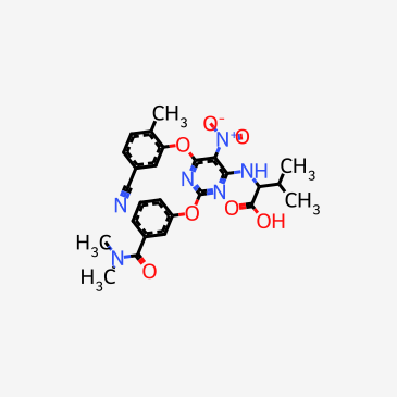 Cc1ccc(C#N)cc1Oc1nc(Oc2cccc(C(=O)N(C)C)c2)nc(NC(C(=O)O)C(C)C)c1[N+](=O)[O-]